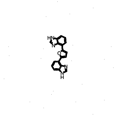 c1cc(-c2ccc(-c3cccc4[nH]cnc34)o2)c2nc[nH]c2c1